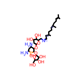 CC(C)=CCC/C(C)=C/CC/C(C)=C/C=N\CC1OC(OC2C(N)CC(N)P(O)C2OC2OC(CO)C(O)C2O)CC(O)C1O